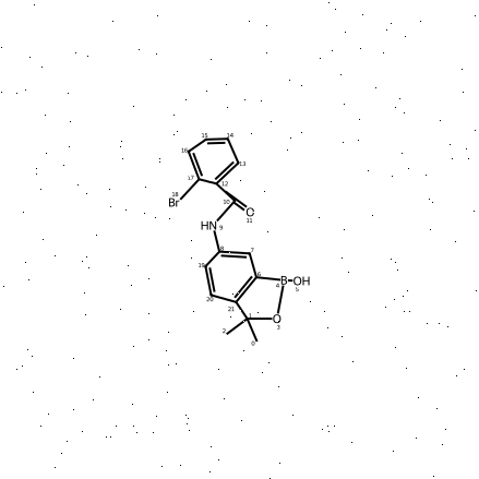 CC1(C)OB(O)c2cc(NC(=O)c3ccccc3Br)ccc21